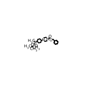 CN(C(=O)OC(C)(C)C)C1CCC(N2CCN(C(=O)OCc3ccccc3)CC2)CC1